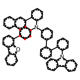 c1cc(-c2ccccc2-c2ccccc2-n2c3ccccc3c3ccccc32)cc(N(c2ccc(-c3cccc4c3oc3ccccc34)cc2)c2ccccc2-c2cc3ccccc3c3ccccc23)c1